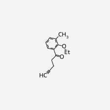 C#CCCC(=O)c1cccc(C)c1OCC